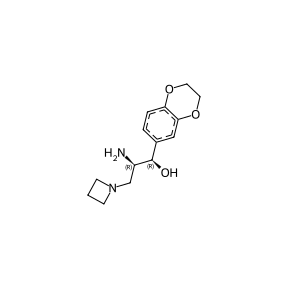 N[C@H](CN1CCC1)[C@H](O)c1ccc2c(c1)OCCO2